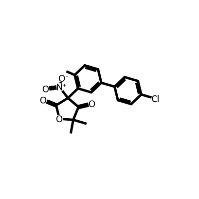 Cc1ccc(-c2ccc(Cl)cc2)cc1C1([N+](=O)[O-])C(=O)OC(C)(C)C1=O